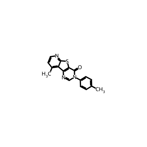 Cc1ccc(-n2cnc3c(sc4nccc(C)c43)c2=O)cc1